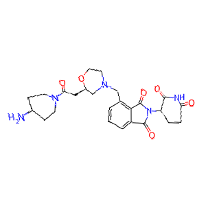 NC1CCN(C(=O)C[C@@H]2CN(Cc3cccc4c3C(=O)N(C3CCC(=O)NC3=O)C4=O)CCO2)CC1